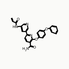 C=CC(=O)Nc1cncc(-c2ccc(C(N)=O)c(Oc3ccc(Oc4ccccc4)cc3)n2)c1